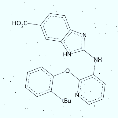 CC(C)(C)c1ccccc1Oc1ncccc1Nc1nc2ccc(C(=O)O)cc2[nH]1